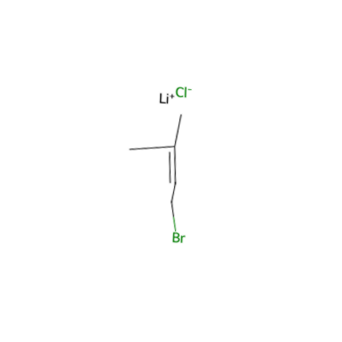 CC(C)=CCBr.[Cl-].[Li+]